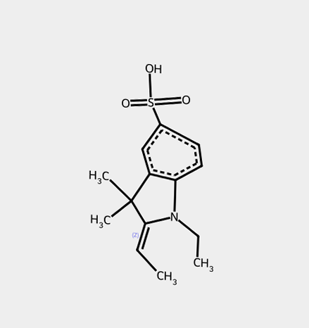 C/C=C1\N(CC)c2ccc(S(=O)(=O)O)cc2C1(C)C